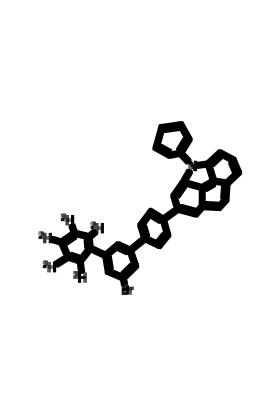 [2H]c1c([2H])c([2H])c(-c2cc(Br)cc(-c3ccc(-c4cc5ccc6cccc7c6c5c(c4)n7-c4ccccc4)cc3)c2)c([2H])c1[2H]